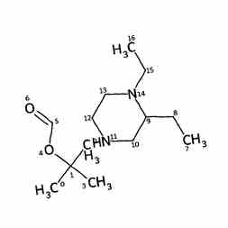 CC(C)(C)OC=O.CCC1CNCCN1CC